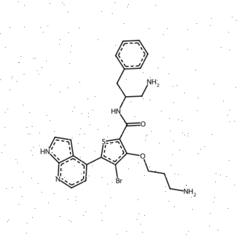 NCCCOc1c(C(=O)NC(CN)Cc2ccccc2)sc(-c2ccnc3[nH]ccc23)c1Br